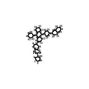 c1ccc(-c2nc3ccc(-c4ccc5c(-c6ccc(-c7ccc8ccccc8c7)cc6)c6ccccc6c(-c6ccccc6)c5c4)cc3s2)cc1